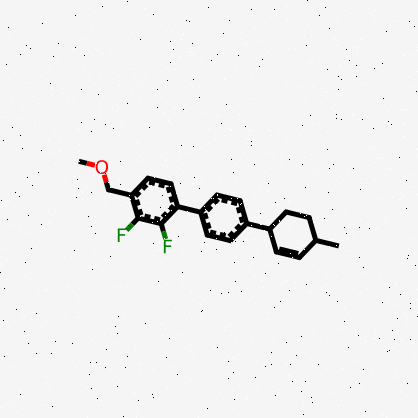 COCc1ccc(-c2ccc(C3C=CC(C)CC3)cc2)c(F)c1F